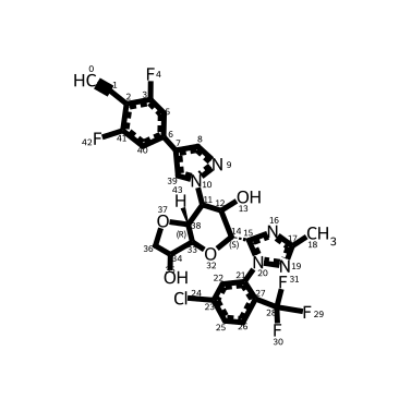 C#Cc1c(F)cc(-c2cnn(C3C(O)[C@H](c4nc(C)nn4-c4cc(Cl)ccc4C(F)(F)F)OC4C(O)CO[C@@H]43)c2)cc1F